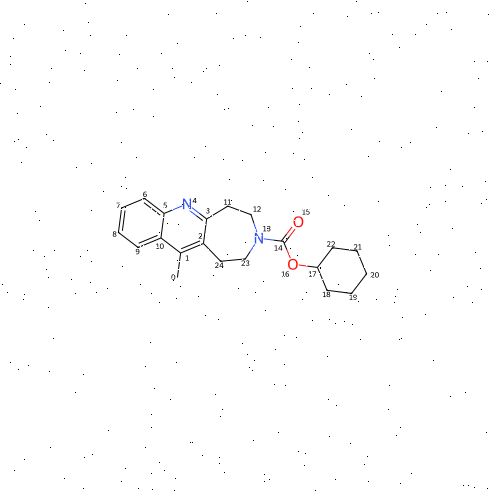 Cc1c2c(nc3ccccc13)CCN(C(=O)OC1CCCCC1)CC2